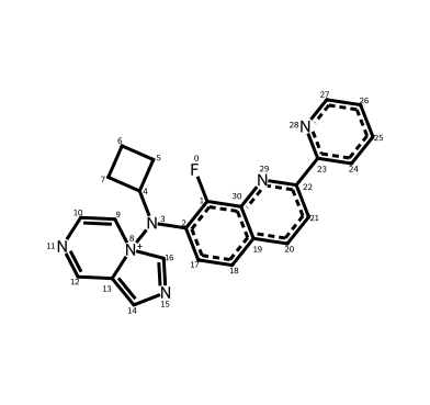 Fc1c(N(C2CCC2)[N+]23C=CN=CC2=CN=C3)ccc2ccc(-c3ccccn3)nc12